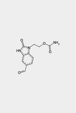 NC(=O)OCCn1c(=O)[nH]c2cc(C=O)ccc21